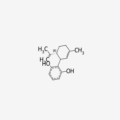 C=C(C)[C@@H]1CCC(C)=CC1c1c(O)cccc1O